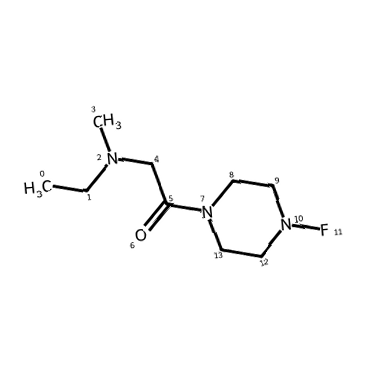 CCN(C)CC(=O)N1CCN(F)CC1